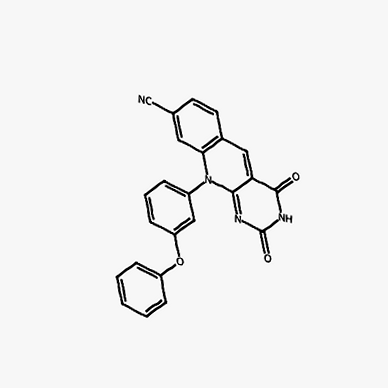 N#Cc1ccc2cc3c(=O)[nH]c(=O)nc-3n(-c3cccc(Oc4ccccc4)c3)c2c1